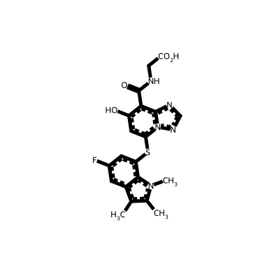 Cc1c(C)n(C)c2c(Sc3cc(O)c(C(=O)NCC(=O)O)c4ncnn34)cc(F)cc12